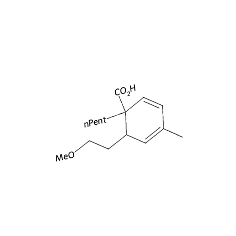 CCCCCC1(C(=O)O)C=CC(C)=CC1CCOC